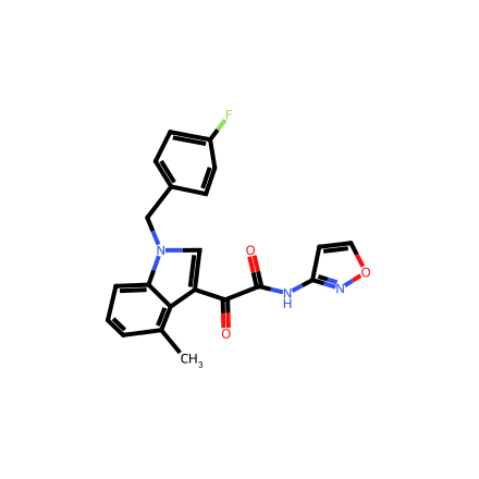 Cc1cccc2c1c(C(=O)C(=O)Nc1ccon1)cn2Cc1ccc(F)cc1